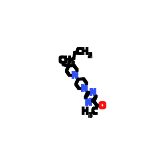 C=CCCC1(CC)CCN(C2CCN(c3cnc(C(C)=O)cn3)CC2)CC1